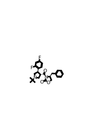 CC(C)(C)N1C[C@@H](C(=O)N2C(=O)OC[C@@H]2Cc2ccccc2)[C@H](c2ccc(F)cc2F)C1